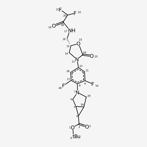 CC(C)(C)OC(=O)C1C2CN(c3c(F)cc(N4C[C@H](CNC(=O)C(F)F)OC4=O)cc3F)CC21